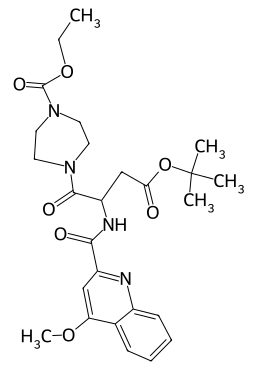 CCOC(=O)N1CCN(C(=O)C(CC(=O)OC(C)(C)C)NC(=O)c2cc(OC)c3ccccc3n2)CC1